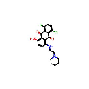 O=C1c2c(O)ccc(NCCN3CCCCC3)c2C(=O)c2c(Cl)ccc(Cl)c21